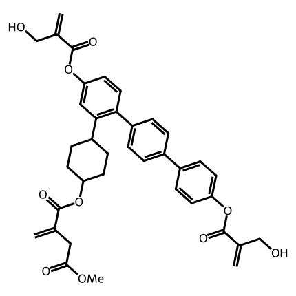 C=C(CO)C(=O)Oc1ccc(-c2ccc(-c3ccc(OC(=O)C(=C)CO)cc3C3CCC(OC(=O)C(=C)CC(=O)OC)CC3)cc2)cc1